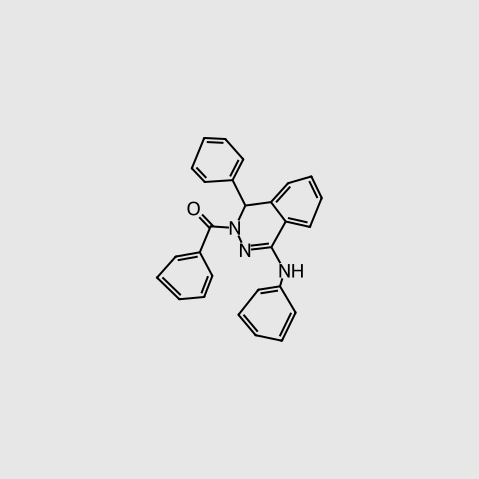 O=C(c1ccccc1)N1N=C(Nc2ccccc2)c2ccccc2C1c1ccccc1